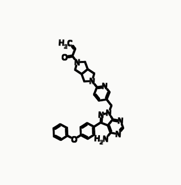 C=CC(=O)N1CC2CN(c3ccc(Cn4nc(-c5ccc(Oc6ccccc6)cc5)c5c(N)ncnc54)cn3)CC2C1